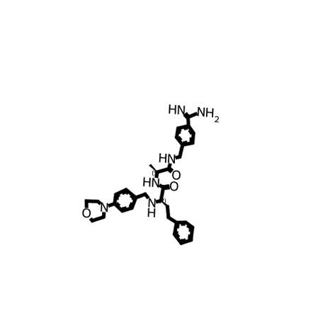 C[C@H](NC(=O)[C@@H](CCc1ccccc1)NCc1ccc(N2CCOCC2)cc1)C(=O)NCc1ccc(C(=N)N)cc1